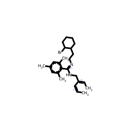 C/C=C\C(=C/C)CN/C(=N/CCC1CCCCC1Br)c1c(C)cc(C)cc1C